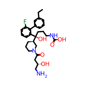 CCc1cccc(-c2c(F)cccc2[C@](O)(CCCNC(=O)O)[C@@H]2CCCN(C(=O)C[C@H](O)CN)C2)c1